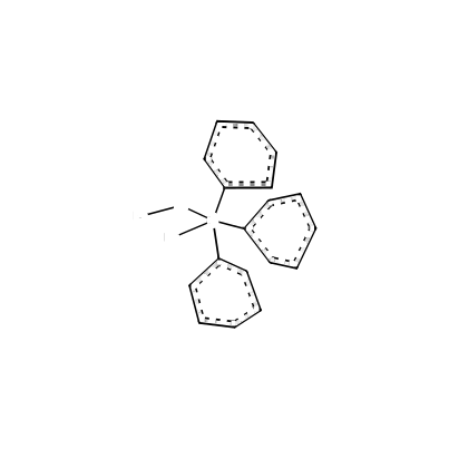 CCP(OBr)(c1ccccc1)(c1ccccc1)c1ccccc1